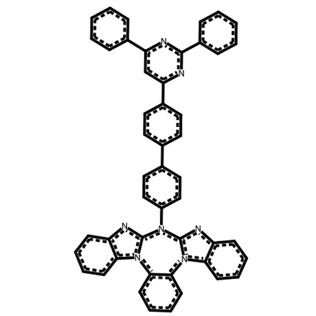 c1ccc(-c2cc(-c3ccc(-c4ccc(-n5c6nc7ccccc7n6c6ccccc6n6c7ccccc7nc56)cc4)cc3)nc(-c3ccccc3)n2)cc1